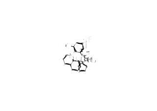 C[SiH](C)[Cr]([CH3])([CH3])([CH3])([C]1=CC=CC1)([c]1cc(C(F)(F)F)cc(C(F)(F)F)c1)[c]1cccc2cccnc12.Cl.Cl